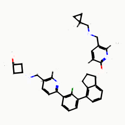 COc1nc(-c2cccc(-c3cccc4c3CC[C@@H]4Oc3nc(OC)c(CNCC4(C(=O)O)CC4)cc3C(F)(F)F)c2Cl)ccc1CN[C@H]1C[C@](C)(O)C1